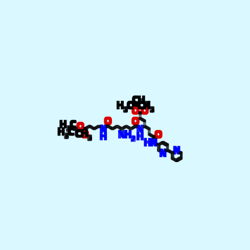 CC(C)(C)OC(=O)CCCNC(=O)CCC(N)CCC(=O)NC(CCC(=O)Nc1ccc(-c2ccccn2)nc1)CCC(=O)OC(C)(C)C